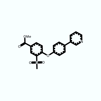 COC(=O)c1ccc(Oc2ccc(-c3cccnc3)cc2)c(S(C)(=O)=O)c1